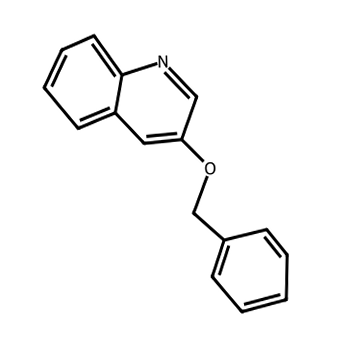 c1ccc(COc2cnc3ccccc3c2)cc1